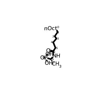 CCCCCCCCCCCCCC(=O)N[C@@H](C)P(=O)(O)O